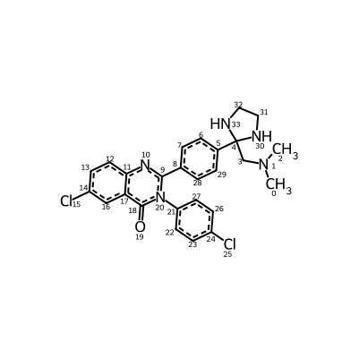 CN(C)CC1(c2ccc(-c3nc4ccc(Cl)cc4c(=O)n3-c3ccc(Cl)cc3)cc2)NCCN1